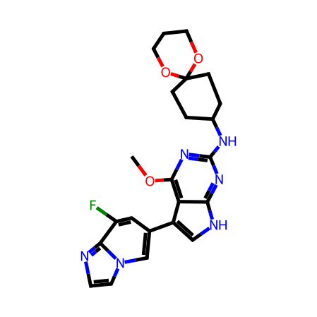 COc1nc(NC2CCC3(CC2)OCCCO3)nc2[nH]cc(-c3cc(F)c4nccn4c3)c12